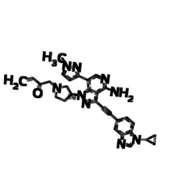 C=CC(=O)CN1CC[C@H](n2nc(C#Cc3ccc4c(c3)ncn4C3CC3)c3c(N)ncc(-c4ccn(C)n4)c32)C1